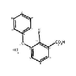 Cl.O=C(O)c1cccc(Oc2ccccc2)c1F